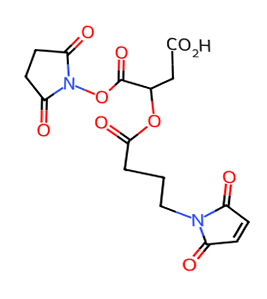 O=C(O)CC(OC(=O)CCCN1C(=O)C=CC1=O)C(=O)ON1C(=O)CCC1=O